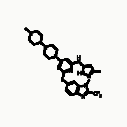 Cc1cc(Nc2cc(N3CCN(C4CCN(C)CC4)CC3)nc(Sc3ccc4nc(C(F)(F)F)n(C)c4c3)n2)[nH]n1